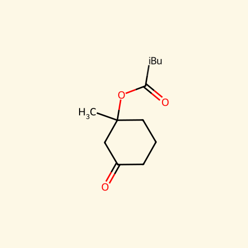 CCC(C)C(=O)OC1(C)CCCC(=O)C1